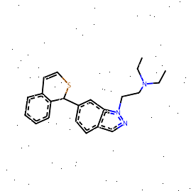 CCN(CC)CCn1ncc2ccc(C3SC=Cc4ccccc43)cc21